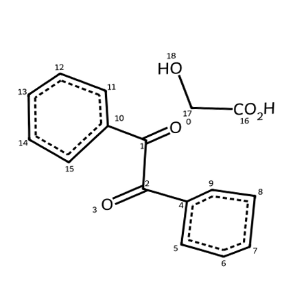 O=C(C(=O)c1ccccc1)c1ccccc1.O=C(O)CO